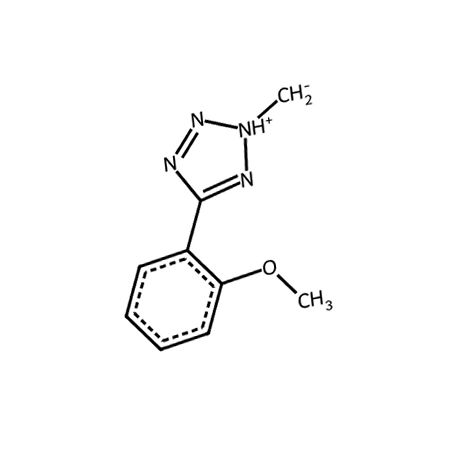 [CH2-][NH+]1N=NC(c2ccccc2OC)=N1